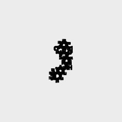 CC1Sc2nc(Nc3ccc4c(c3)CCN(C)C4(C)C)ncc2C(=O)N1c1c(Cl)cccc1Cl